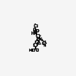 COc1cc(C(=O)O)ccc1Cc1cn(Cc2ccncc2)c2ccc(NC(=O)OC3CCCC3)cc12